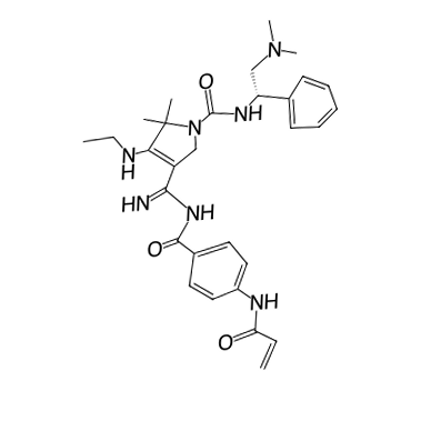 C=CC(=O)Nc1ccc(C(=O)NC(=N)C2=C(NCC)C(C)(C)N(C(=O)N[C@H](CN(C)C)c3ccccc3)C2)cc1